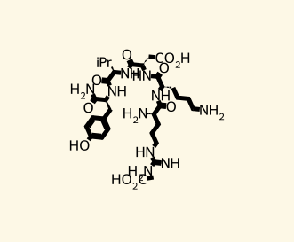 CC(=O)O.CC(C)[C@H](NC(=O)[C@H](CC(=O)O)NC(=O)[C@H](CCCCN)NC(=O)[C@@H](N)CCCNC(=N)N)C(=O)N[C@@H](Cc1ccc(O)cc1)C(N)=O